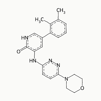 Cc1cccc(-c2c[nH]c(=O)c(Nc3ccc(N4CCOCC4)nn3)c2)c1C